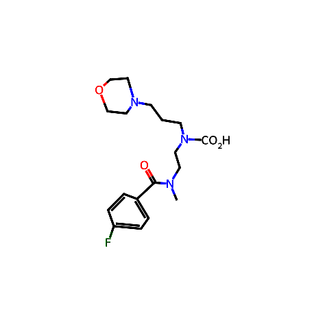 CN(CCN(CCCN1CCOCC1)C(=O)O)C(=O)c1ccc(F)cc1